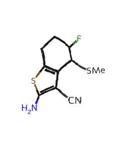 CSC1c2c(sc(N)c2C#N)CCC1F